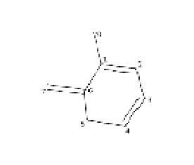 [CH]C1=CC=CCC1=C